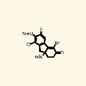 CCCCC12CCC(=O)C(Br)=C1c1cc(F)c(OC)c(Cl)c1C2